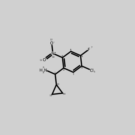 NC(c1cc(Cl)c(F)cc1[N+](=O)[O-])C1CC1